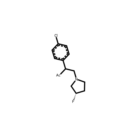 CC(=O)C(CN1CC[C@H](F)C1)c1ccc(Cl)cc1